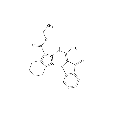 CCOC(=O)c1c(NC(C)=C2Sc3ccccc3C2=O)sc2c1CCCC2